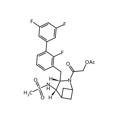 CC(=O)OCC(=O)N1C2CC(C2)[C@H](NS(C)(=O)=O)[C@@H]1Cc1cccc(-c2cc(F)cc(F)c2)c1F